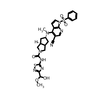 COC(O)c1nsc(NC(=O)N2CC3C[C@@H](N(C)c4c(C#N)cnc5c4ccn5S(=O)(=O)c4ccccc4)C[C@@H]3C2)n1